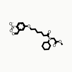 COC(=O)CN(C(=O)CCCCCOc1ccc([N+](=O)[O-])c(C=O)c1)C1CCCCC1